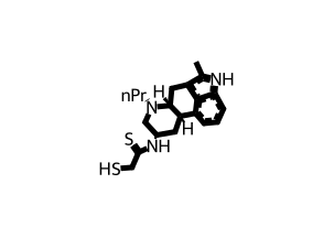 CCCN1C[C@@H](NC(=S)CS)C[C@@H]2c3cccc4[nH]c(C)c(c34)C[C@H]21